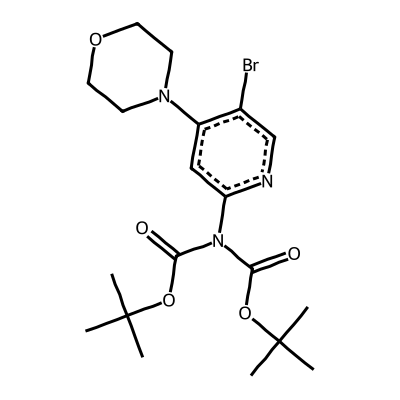 CC(C)(C)OC(=O)N(C(=O)OC(C)(C)C)c1cc(N2CCOCC2)c(Br)cn1